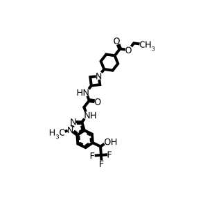 CCOC(=O)C1CCC(N2CC(NC(=O)CNc3nn(C)c4ccc(C(O)C(F)(F)F)cc34)C2)CC1